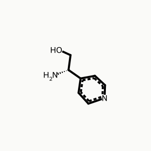 N[C@H](CO)c1ccncc1